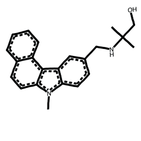 Cn1c2ccc(CNC(C)(C)CO)cc2c2c3ccccc3ccc21